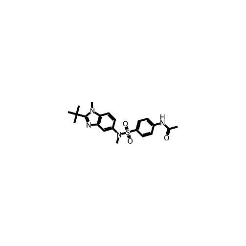 CC(=O)Nc1ccc(S(=O)(=O)N(C)c2ccc3c(c2)nc(C(C)(C)C)n3C)cc1